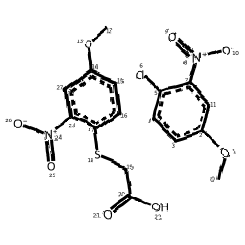 COc1ccc(Cl)c([N+](=O)[O-])c1.COc1ccc(SCC(=O)O)c([N+](=O)[O-])c1